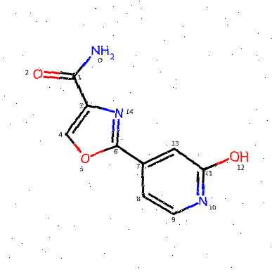 NC(=O)c1coc(-c2ccnc(O)c2)n1